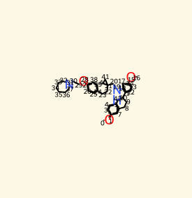 COc1ccc2c(c1)CCC(c1ccc(OC)cc1NCC1(CCc3ccc(OCCN4CCCCCC4)cc3)CC1)C2